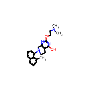 Cc1cccc2cccc(N3CCc4c(O)nc(OCCN(C)C)nc4C3)c12